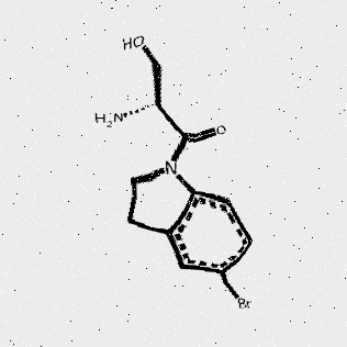 N[C@H](CO)C(=O)N1CCc2cc(Br)ccc21